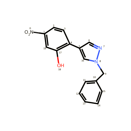 O=[N+]([O-])c1ccc(-c2cnn(Cc3ccccc3)c2)c(O)c1